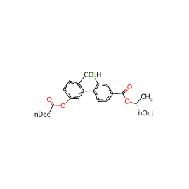 CCCCCCCCCCC(=O)Oc1ccc(C(=O)O)c(-c2ccc(C(=O)O[C@H](C)CCCCCCCC)cc2F)c1